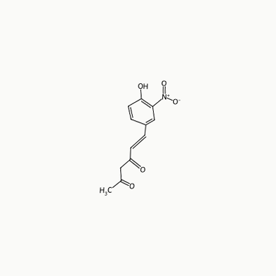 CC(=O)CC(=O)C=Cc1ccc(O)c([N+](=O)[O-])c1